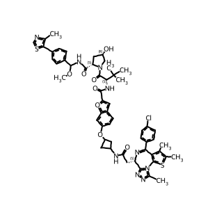 COC(NC(=O)[C@@H]1C[C@@H](O)CN1C(=O)[C@@H](NC(=O)c1cc2ccc(OC3CC(NC(=O)C[C@@H]4N=C(c5ccc(Cl)cc5)c5c(sc(C)c5C)-n5c(C)nnc54)C3)cc2o1)C(C)(C)C)c1ccc(-c2scnc2C)cc1